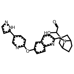 O=CC(O)N1CC2CCC(C1)N2Cc1ccc2cc(Oc3ccc(-c4ccn[nH]4)cn3)ccc2n1